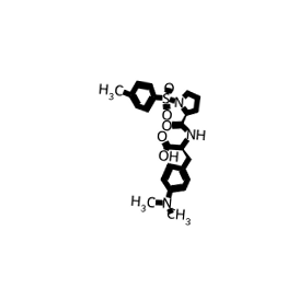 Cc1ccc(S(=O)(=O)N2CCC[C@H]2C(=O)N[C@@H](Cc2ccc(N(C)C)cc2)C(=O)O)cc1